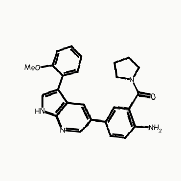 COc1ccccc1-c1c[nH]c2ncc(-c3ccc(N)c(C(=O)N4CCCC4)c3)cc12